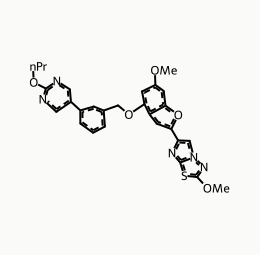 CCCOc1ncc(-c2cccc(COc3cc(OC)cc4oc(-c5cn6nc(OC)sc6n5)cc34)c2)cn1